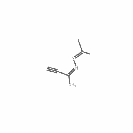 C#C/C(N)=N\N=C(/C)I